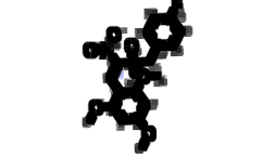 COc1cc(OC)c(/C=C(/[N+](=O)[O-])S(=O)(=O)Cc2ccc(F)cc2)c(OC)c1